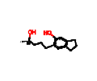 [CH2][C@H](O)CCCc1cc2c(cc1O)CCC2